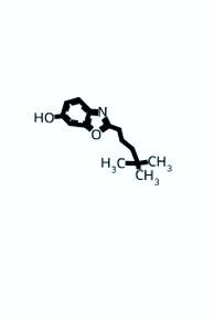 CC(C)(C)CCCc1nc2ccc(O)cc2o1